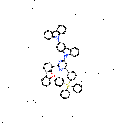 c1ccc(S(c2ccccc2)(c2ccccc2)c2cccc(-c3cc(-n4c5ccccc5c5cc(-n6c7ccccc7c7ccccc76)ccc54)nc(-c4cccc5c4oc4ccccc45)n3)c2)cc1